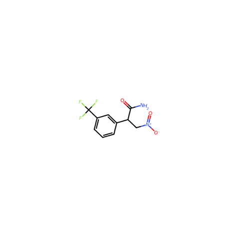 NC(=O)C(C[N+](=O)[O-])c1cccc(C(F)(F)F)c1